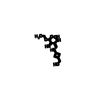 CCOC(=O)C(=N)/C(BO)=C\NC1CC(CO)C1